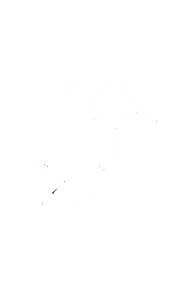 Cc1ccc(F)c(CN2CC[C@](C)(N)C2)c1